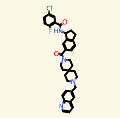 O=C(NC1CCc2ccc(C(=O)N3CCC4(CCN(Cc5ccc6ncccc6c5)CC4)CC3)cc21)c1cc(Cl)ccc1F